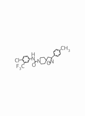 Cc1ccc(C2=NOC3(CCN(C(=O)Nc4ccc(Cl)c(C(F)(F)F)c4)CC3)C2)cc1